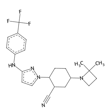 CC1(C)CCN1C1CCC(n2ccc(Nc3ccc(C(F)(F)F)cc3)n2)C(C#N)C1